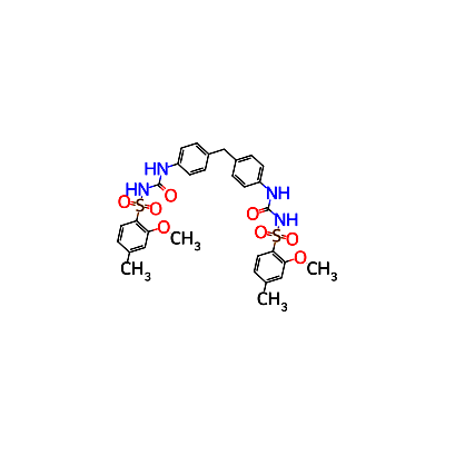 COc1cc(C)ccc1S(=O)(=O)NC(=O)Nc1ccc(Cc2ccc(NC(=O)NS(=O)(=O)c3ccc(C)cc3OC)cc2)cc1